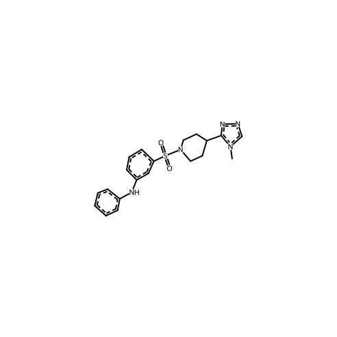 Cn1cnnc1C1CCN(S(=O)(=O)c2cccc(Nc3ccccc3)c2)CC1